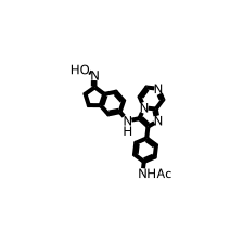 CC(=O)Nc1ccc(-c2nc3cnccn3c2Nc2ccc3c(c2)CCC3=NO)cc1